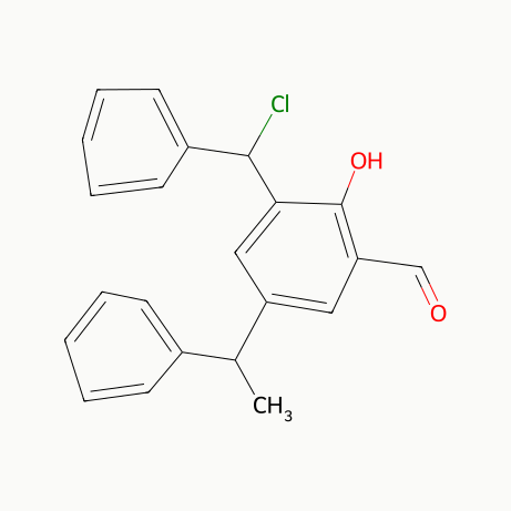 CC(c1ccccc1)c1cc(C=O)c(O)c(C(Cl)c2ccccc2)c1